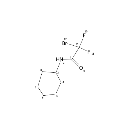 O=C(NC1CCCCC1)C(F)(F)Br